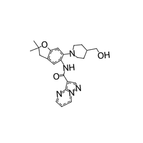 CC1(C)Cc2cc(NC(=O)c3cnn4cccnc34)c(N3CCC(CO)CC3)cc2O1